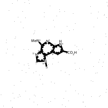 CNc1nc2[nH]c(C(=O)O)cc2c2c1ncn2C